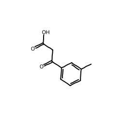 Cc1cccc(C(=O)CC(=O)O)c1